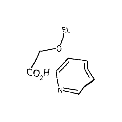 CCOCC(=O)O.c1ccncc1